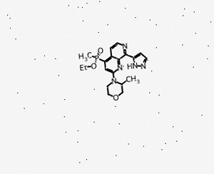 CCOP(C)(=O)c1cc(N2CCOCC2C)nc2c(-c3ccn[nH]3)nccc12